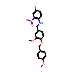 COc1ccc(COc2ccc(CNc3ccc(Br)cc3[N+](=O)[O-])cc2OC)cc1